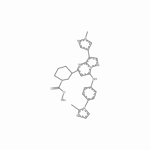 Cc1nccn1-c1ccc(Nc2cc(C3CCCN(C(=O)OC(C)(C)C)C3)nc3c(-c4cnn(C)c4)cnn23)cc1